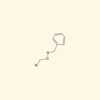 BrCO[N]Cc1ccccc1